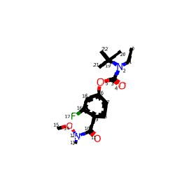 CCN(C(=O)Oc1ccc(C(=O)N(C)OC)c(F)c1)C(C)(C)C